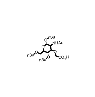 CCCCOCC1O[C@H](OCCCC)C(NC(C)=O)C(OCC(=O)O)[C@@H]1OCCCC